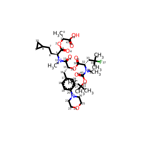 C[C@@H](OC(=O)[C@H](CCC1CC1)N(C)C(=O)[C@@H](Cc1ccc(N2CCOCC2)cc1)OC(=O)[C@H](CC(C)(C)F)N(C)C(=O)OC(C)(C)C)C(=O)O